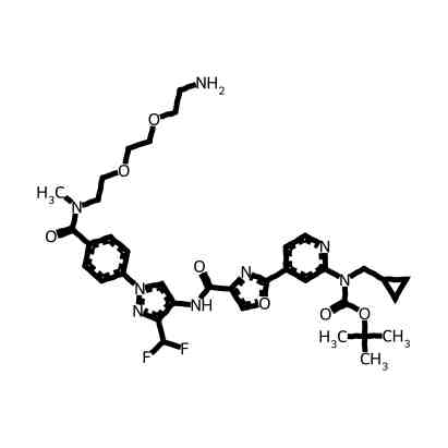 CN(CCOCCOCCN)C(=O)c1ccc(-n2cc(NC(=O)c3coc(-c4ccnc(N(CC5CC5)C(=O)OC(C)(C)C)c4)n3)c(C(F)F)n2)cc1